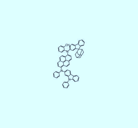 Cc1ccccc1N(c1ccc2c(c1)C1(c3ccccc3-2)C2CC3CC(C2)CC1C3)c1ccc2ccc3c(N(c4ccccc4)c4ccc5c6ccccc6n(-c6ccccc6)c5c4)ccc4ccc1c2c43